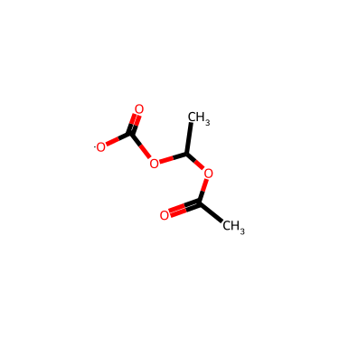 CC(=O)OC(C)OC([O])=O